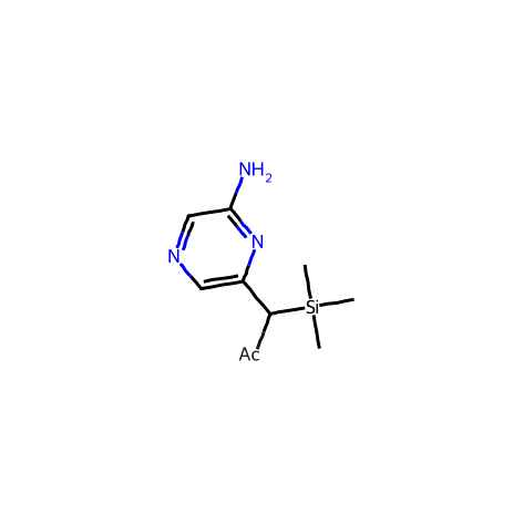 CC(=O)C(c1cncc(N)n1)[Si](C)(C)C